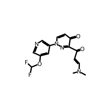 CN(C)/C=C/C(=O)c1nn(-c2cncc(OC(F)F)c2)ccc1=O